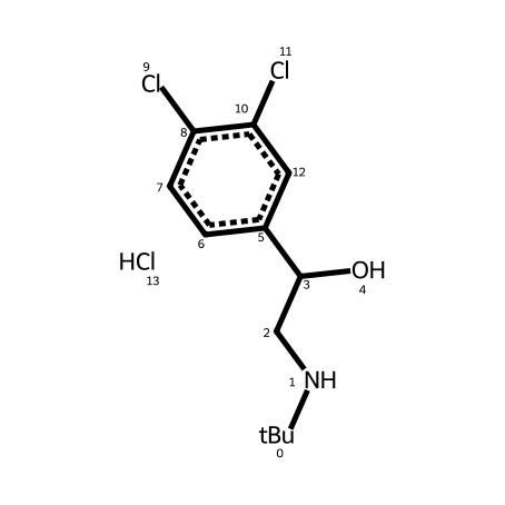 CC(C)(C)NCC(O)c1ccc(Cl)c(Cl)c1.Cl